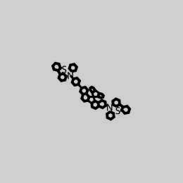 c1ccc(N(c2ccc(-c3ccc4c5c(ccc4c3)-c3ccc4cc(N(c6ccccc6)c6cccc7c6sc6ccccc67)ccc4c3C53c4ccccc4-c4ccccc43)cc2)c2cccc3c2sc2ccccc23)cc1